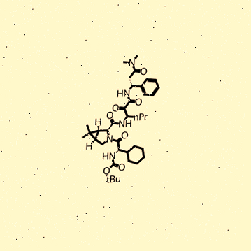 CCCC(NC(=O)[C@@H]1[C@@H]2[C@H](CN1C(=O)[C@@H](NC(=O)OC(C)(C)C)C1CCCCC1)C2(C)C)C(=O)C(=O)N[C@H](CC(=O)N(C)C)c1ccccc1